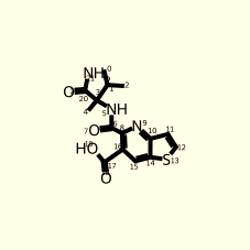 CC(C)C(C)(NC(=O)c1nc2ccsc2cc1C(=O)O)C(N)=O